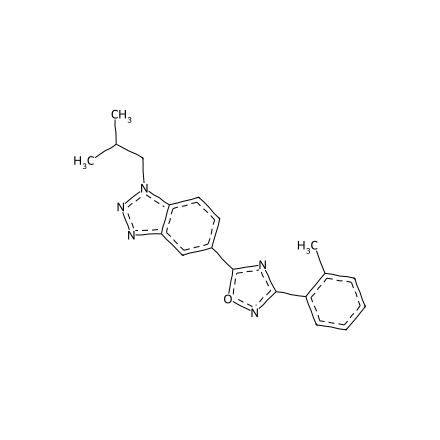 Cc1ccccc1-c1noc(-c2ccc3c(c2)nnn3CC(C)C)n1